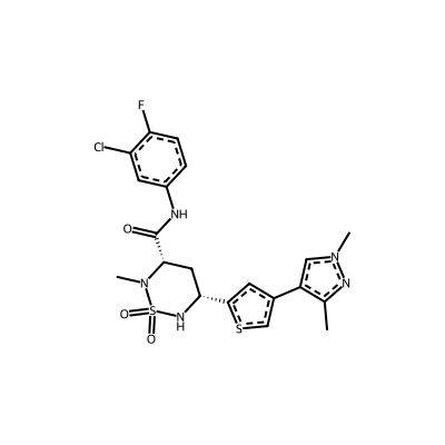 Cc1nn(C)cc1-c1csc([C@H]2C[C@@H](C(=O)Nc3ccc(F)c(Cl)c3)N(C)S(=O)(=O)N2)c1